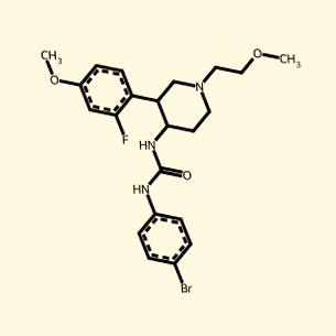 COCCN1CCC(NC(=O)Nc2ccc(Br)cc2)C(c2ccc(OC)cc2F)C1